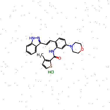 Cc1ccsc1C(=O)Nc1cc(N2CCOCC2)ccc1C=Cc1n[nH]c2ccccc12.Cl